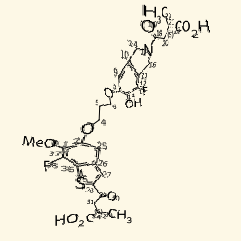 COc1c(OCCCOc2cc3c(c(F)c2O)CN(C(=O)C[C@H](C)C(=O)O)C3)cc2cc(C(=O)C[C@H](C)C(=O)O)sc2c1F